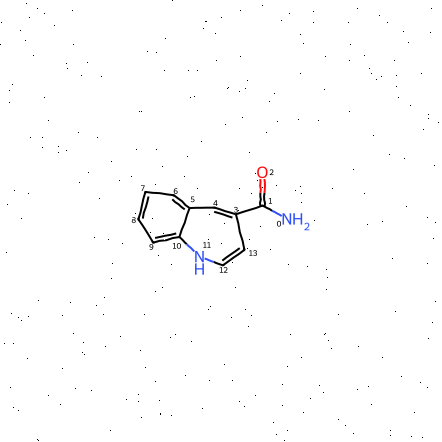 NC(=O)C1=Cc2ccccc2NC=C1